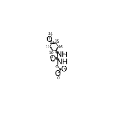 COC(=O)CNC(=O)Nc1ccc(OC)cc1